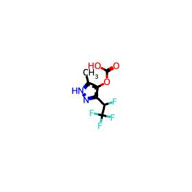 Cc1[nH]nc(C(F)C(F)(F)F)c1OC(=O)O